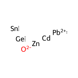 [Cd].[Ge].[O-2].[Pb+2].[Sn].[Zn]